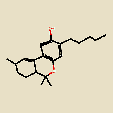 CCCCCc1cc2c(cc1O)C1=CC(C)CCC1C(C)(C)O2